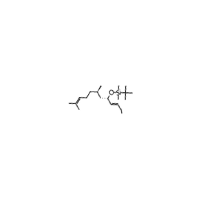 CC(C)=CCC[C@@H](C)C[C@@H](C=CI)O[Si](C)(C)C(C)(C)C